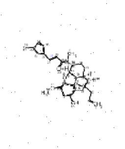 C=CCN1CC[C@]23c4c5c(O)cc(OC)c4O[C@H]2[C@H](N(C)C(=O)/C=C/c2cc(Br)cs2)CC[C@H]3[C@H]1C5